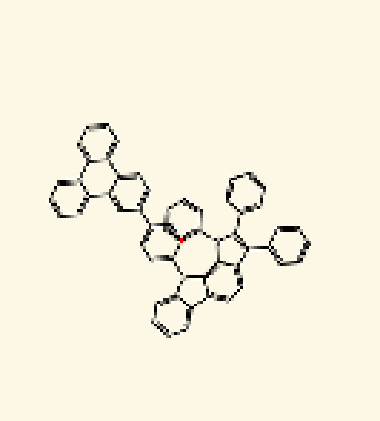 c1ccc(-c2c(-c3ccccc3)n(-c3ccccc3)c3c2ccc2c4ccccc4n(-c4ccc(-c5ccc6c7ccccc7c7ccccc7c6c5)cc4)c23)cc1